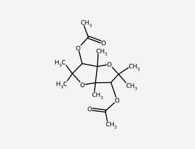 CC(=O)OC1C(C)(C)OC2(C)C(OC(C)=O)C(C)(C)OC12C